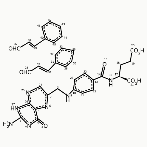 Nc1nc(=O)c2nc(CNc3ccc(C(=O)N[C@@H](CCC(=O)O)C(=O)O)cc3)cnc2[nH]1.O=C/C=C/c1ccccc1.O=C/C=C/c1ccccc1